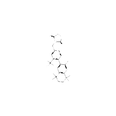 Cc1cc2c(cc1-c1ccc(CN3C(=O)CSC3=O)cc1C(F)(F)F)C(C)(C)CCC2(C)C